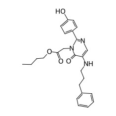 CCCCOC(=O)Cn1c(-c2ccc(O)cc2)ncc(NCCCc2ccccc2)c1=O